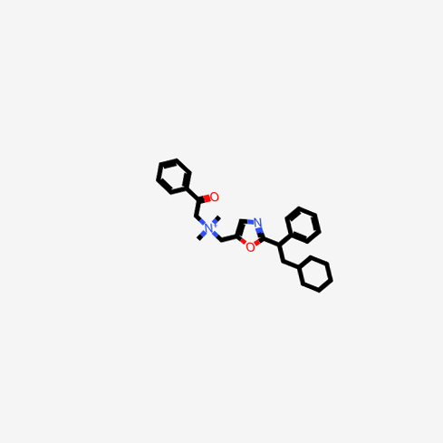 C[N+](C)(CC(=O)c1ccccc1)Cc1cnc(C(CC2CCCCC2)c2ccccc2)o1